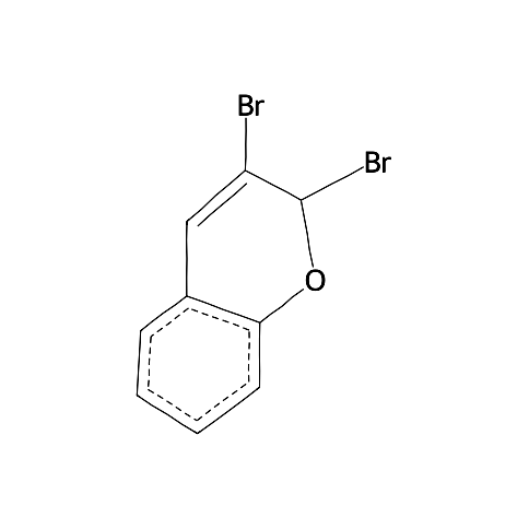 BrC1=Cc2ccccc2OC1Br